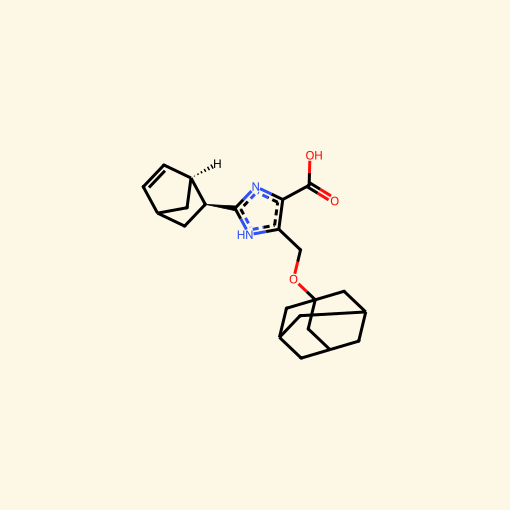 O=C(O)c1nc([C@H]2CC3C=C[C@@H]2C3)[nH]c1COC12CC3CC(CC(C3)C1)C2